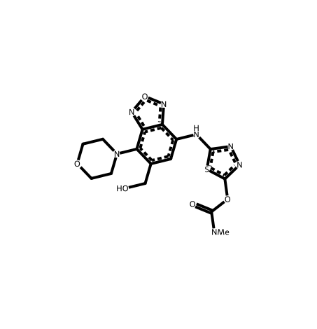 CNC(=O)Oc1nnc(Nc2cc(CO)c(N3CCOCC3)c3nonc23)s1